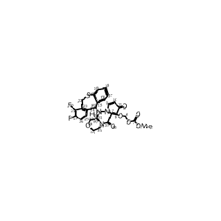 COC(=O)OCOc1c2n(ccc1=O)N([C@H]1c3ccccc3SCc3c1ccc(F)c3F)[C@@H]1COCCN1C2=O